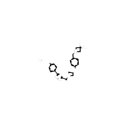 CCC1(O)CN(Cc2ccc(OC3CN(C(=O)c4nnc(-c5ccc(OC)cc5)o4)C3)cc2)C1